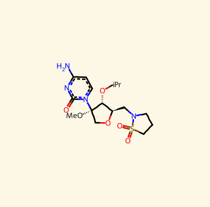 CO[C@@]1(n2ccc(N)nc2=O)CO[C@H](CN2CCCS2(=O)=O)[C@H]1OC(C)C